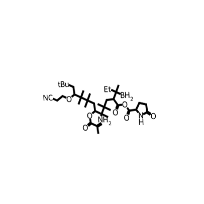 BC(C)(CC)C(CC(C)(C)C(C)(N)C(CC(C)(C)C(C)(C)C(CC(C)(C)C)OCCC#N)OC(=O)C(=C)C)C(=O)OC(=O)C1CCC(=O)N1